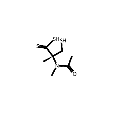 CC(=O)N(C)[C@@](C)(CS)C(=S)S